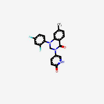 O=C1c2ccc(C(F)(F)F)cc2N(c2ccc(F)cc2F)CN1c1ccc(=O)[nH]c1